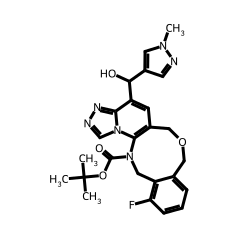 Cn1cc(C(O)c2cc3c(n4cnnc24)N(C(=O)OC(C)(C)C)Cc2c(F)cccc2COC3)cn1